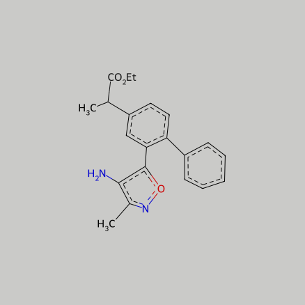 CCOC(=O)C(C)c1ccc(-c2ccccc2)c(-c2onc(C)c2N)c1